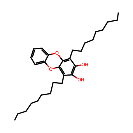 CCCCCCCCCc1c(O)c(O)c(CCCCCCCCC)c2c1Oc1ccccc1O2